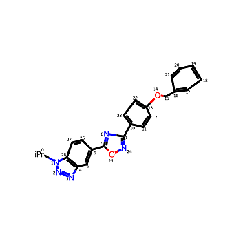 CC(C)n1nnc2cc(-c3nc(-c4ccc(OCc5ccccc5)cc4)no3)ccc21